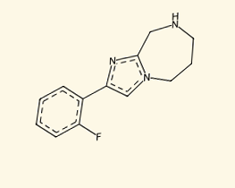 Fc1ccccc1-c1cn2c(n1)CNCCC2